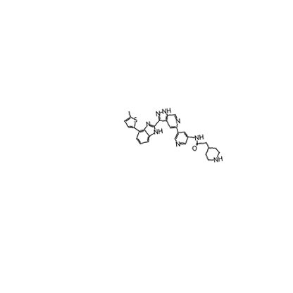 Cc1ccc(-c2cccc3[nH]c(-c4n[nH]c5cnc(-c6cncc(NC(=O)CC7CCNCC7)c6)cc45)nc23)s1